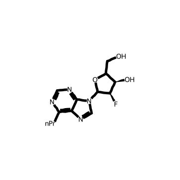 CCCc1ncnc2c1ncn2C1OC(CO)[C@@H](O)[C@H]1F